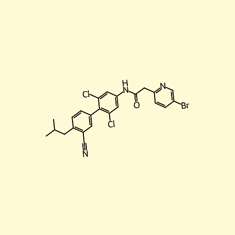 CC(C)Cc1ccc(-c2c(Cl)cc(NC(=O)Cc3ccc(Br)cn3)cc2Cl)cc1C#N